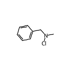 CN(Cl)Cc1ccccc1